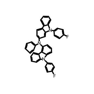 Fc1ccc(-n2c3ccccc3c3ccc(N(c4ccccc4)c4cccc5c4c4ccccc4n5-c4ccc(F)cc4)cc32)cc1